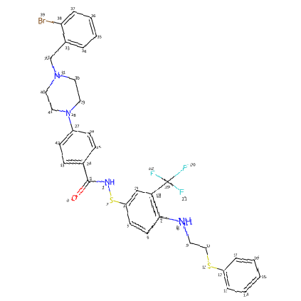 O=C(NSc1ccc(NCCSc2ccccc2)c(C(F)(F)F)c1)c1ccc(N2CCN(Cc3ccccc3Br)CC2)cc1